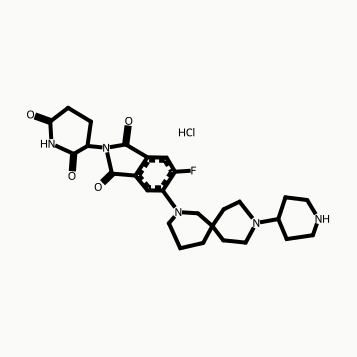 Cl.O=C1CCC(N2C(=O)c3cc(F)c(N4CCCC5(CCN(C6CCNCC6)CC5)C4)cc3C2=O)C(=O)N1